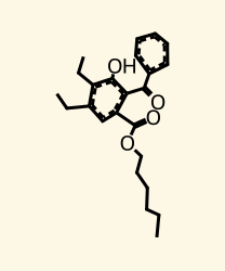 CCCCCCOC(=O)c1cc(CC)c(CC)c(O)c1C(=O)c1ccccc1